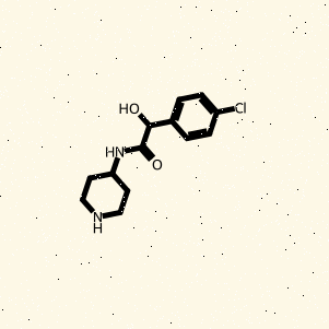 O=C(NC1CCNCC1)C(O)c1ccc(Cl)cc1